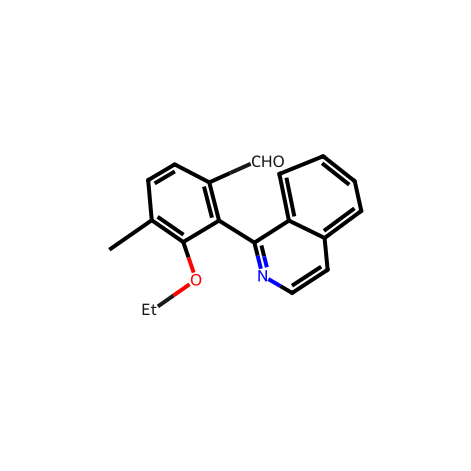 CCOc1c(C)ccc(C=O)c1-c1nccc2ccccc12